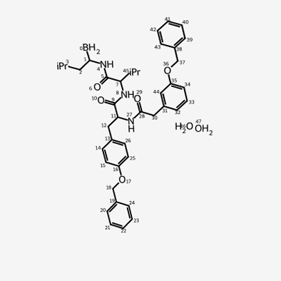 BC(CC(C)C)NC(=O)C(NC(=O)C(Cc1ccc(OCc2ccccc2)cc1)NC(=O)Cc1cccc(OCc2ccccc2)c1)C(C)C.O.O